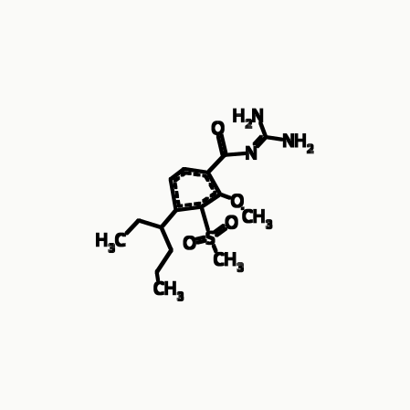 CCCC(CC)c1ccc(C(=O)N=C(N)N)c(OC)c1S(C)(=O)=O